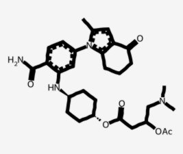 CC(=O)OC(CC(=O)O[C@H]1CC[C@H](Nc2cc(-n3c(C)cc4c3CCCC4=O)ccc2C(N)=O)CC1)CN(C)C